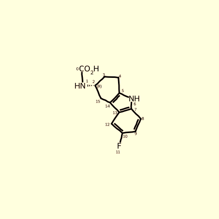 O=C(O)N[C@@H]1CCc2[nH]c3ccc(F)cc3c2C1